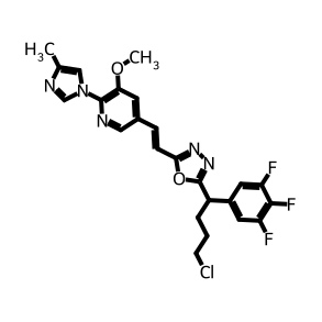 COc1cc(/C=C/c2nnc(C(CCCCl)c3cc(F)c(F)c(F)c3)o2)cnc1-n1cnc(C)c1